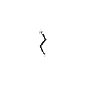 CC(=O)[CH]CC(C)C